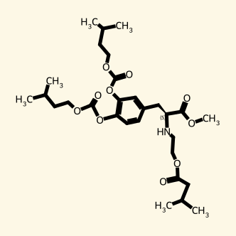 COC(=O)[C@H](Cc1ccc(OC(=O)OCCC(C)C)c(OC(=O)OCCC(C)C)c1)NCCOC(=O)CC(C)C